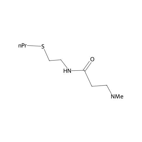 CCCSCCNC(=O)CCNC